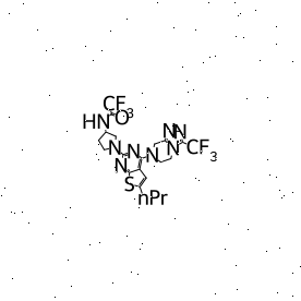 CCCc1cc2c(N3CCn4c(nnc4C(F)(F)F)C3)nc(N3CC[C@H](NC(=O)C(F)(F)F)C3)nc2s1